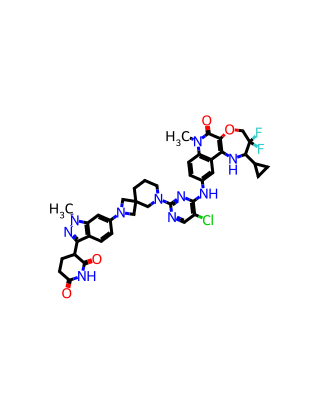 Cn1nc(C2CCC(=O)NC2=O)c2ccc(N3CC4(CCCN(c5ncc(Cl)c(Nc6ccc7c(c6)c6c(c(=O)n7C)OCC(F)(F)C(C7CC7)N6)n5)C4)C3)cc21